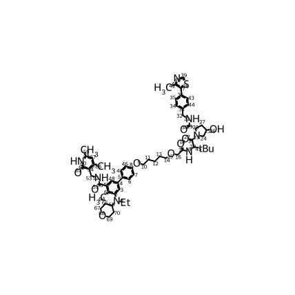 CCN(c1cc(-c2ccc(OCCCCCOCC(=O)NC(C(=O)N3C[C@H](O)C[C@H]3C(=O)NCc3ccc(-c4scnc4C)cc3)C(C)(C)C)cc2)cc(C(=O)NCc2c(C)cc(C)[nH]c2=O)c1C)C1CCOCC1